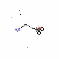 CC(C)(CCCCCCC/C=C\CCCCN)[Si](O)(c1ccccc1)c1ccccc1